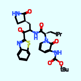 CC(C)C[C@@H](C(=O)NC(C[C@@H]1CCNC1=O)C(=O)c1nc2ccccc2s1)n1cccc(NC(=O)OC(C)(C)C)c1=O